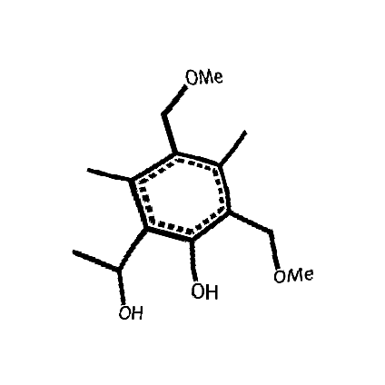 COCc1c(C)c(COC)c(O)c(C(C)O)c1C